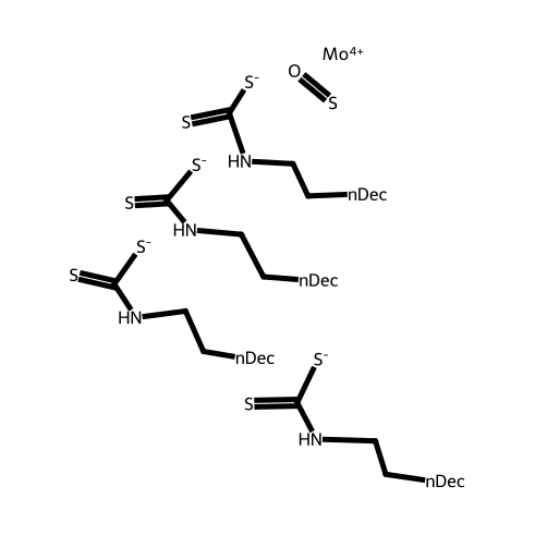 CCCCCCCCCCCCNC(=S)[S-].CCCCCCCCCCCCNC(=S)[S-].CCCCCCCCCCCCNC(=S)[S-].CCCCCCCCCCCCNC(=S)[S-].O=S.[Mo+4]